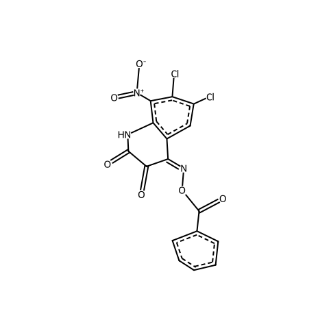 O=C1Nc2c(cc(Cl)c(Cl)c2[N+](=O)[O-])C(=NOC(=O)c2ccccc2)C1=O